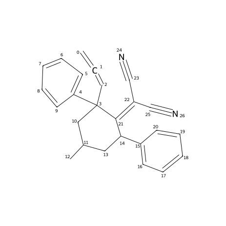 C=C=CC1(c2ccccc2)CC(C)CC(c2ccccc2)C1=C(C#N)C#N